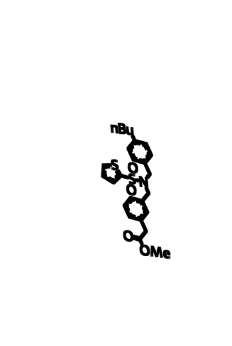 CCCCc1ccc(CN(Cc2cccc(CC(=O)OC)c2)S(=O)(=O)c2cccs2)cc1